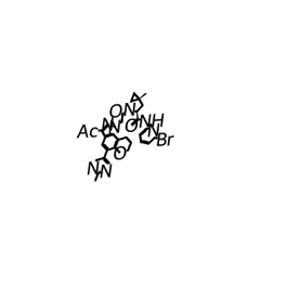 CC(=O)c1nn(CC(=O)N2C3C[C@]3(C)C[C@H]2C(=O)Nc2cccc(Br)n2)c2c3c(c(-c4cnc(C)nc4)cc12)OCCC3